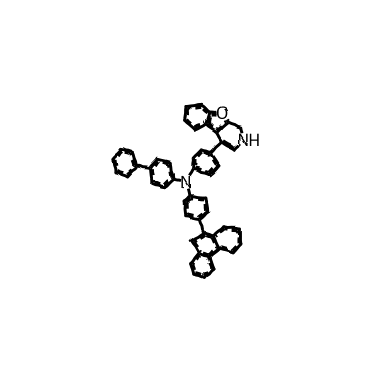 C1=C(c2ccc(N(c3ccc(-c4ccccc4)cc3)c3ccc(-c4cc5ccccc5c5ccccc45)cc3)cc2)c2c(oc3ccccc23)CN1